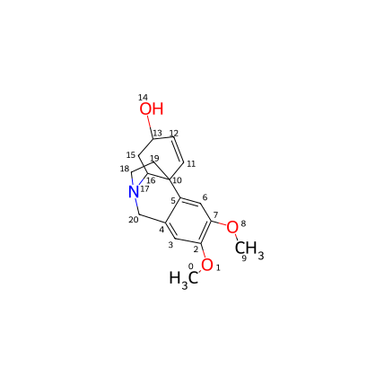 COc1cc2c(cc1OC)C13C=CC(O)CC1N(CC3)C2